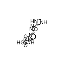 O=C1N2C[C@H](CC[C@H]2c2nnc([C@@H]3CNCCN3)o2)N1OS(=O)(=O)O